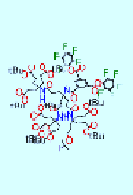 CN(C(=O)c1cc(C(=O)Oc2c(F)c(F)c(F)c(F)c2F)cc(C(=O)Oc2c(F)c(F)c(F)c(F)c2F)c1)C(CCC(=O)NC(CCCOC(C)(C)I)(CCC(=O)OC(C)(C)C)CCC(=O)OC(C)(C)C)(CCC(=O)NC(CCC(=O)OC(C)(C)C)(CCC(=O)OC(C)(C)C)CCC(=O)OC(C)(C)C)CCC(=O)NC(CCC(=O)OC(C)(C)C)(CCC(=O)OC(C)(C)C)CCC(=O)OC(C)(C)C